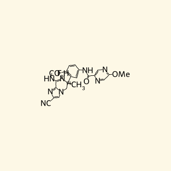 COc1cnc(C(=O)Nc2ccc(F)c([C@]3(C)Cn4cc(C#N)nc4C(NC(=O)O)=N3)c2)cn1